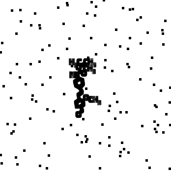 COc1cc(C=O)ccc1C=Cc1ccc(NC(=O)OC(C)(C)C)cc1